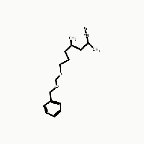 CC(CCCOCOCc1ccccc1)C[CH](C)[Mg][Br]